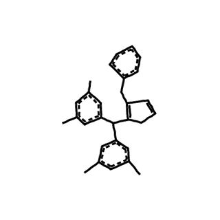 Cc1cc(C)cc(C(C2=C(Cc3ccccc3)C=CC2)c2cc(C)cc(C)c2)c1